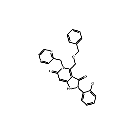 O=c1c2c(COCc3ccccc3)n(Cc3cnccn3)c(=O)cc2[nH]n1-c1ccccc1Cl